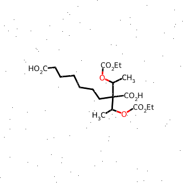 CCOC(=O)OC(C)C(CCCCCCC(=O)O)(C(=O)O)C(C)OC(=O)OCC